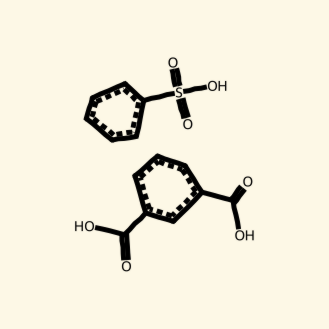 O=C(O)c1cccc(C(=O)O)c1.O=S(=O)(O)c1ccccc1